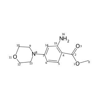 COC(=O)c1ccc(N2CCOCC2)cc1N